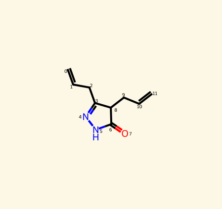 C=CCC1=NNC(=O)C1CC=C